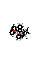 CCO[Si](CC(CP)C(c1ccccc1)(c1ccccc1)P(c1ccccc1)c1ccccc1)(OCC)OCC